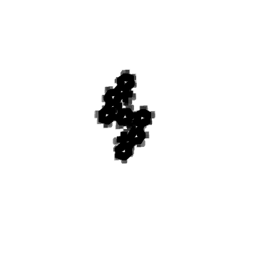 CC1(C)c2ccccc2-c2ccc3c4cccc5c6cc7c(cc6n(c3c21)c54)c1cccc2c3ccc4c(c3n7c12)C(C)(C)c1ccccc1-4